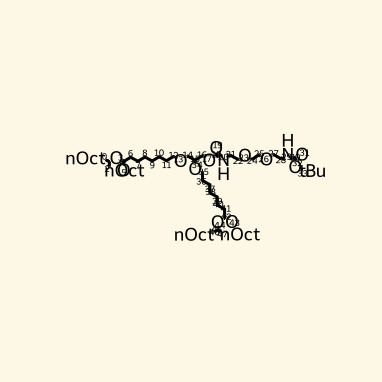 CCCCCCCCC(CCCCCCCC)OC(=O)CCCCCCCOCC(COC(=O)NCCOCCOCCNC(=O)OC(C)(C)C)OCCCCCCCC(=O)OC(CCCCCCCC)CCCCCCCC